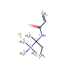 C=CC(=O)NC(C)(CC)[N+](C)(C)C.[Cl-]